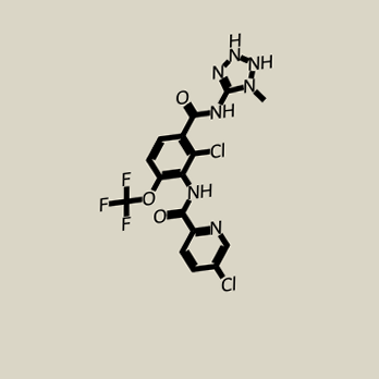 CN1NNN=C1NC(=O)c1ccc(OC(F)(F)F)c(NC(=O)c2ccc(Cl)cn2)c1Cl